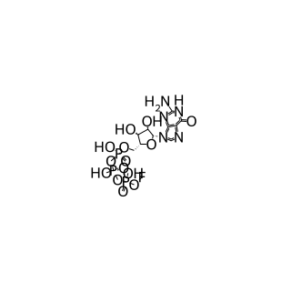 Nc1nc2c(ncn2[C@@H]2O[C@H](COP(=O)(O)OP(=O)(O)OP(=O)(O)OF)[C@@H](O)[C@H]2O)c(=O)[nH]1